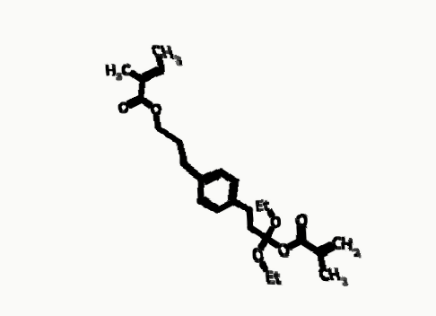 C=C(C)C(=O)OC(CCc1ccc(CCCOC(=O)C(C)=CC)cc1)(OCC)OCC